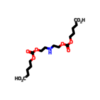 O=C(O)CCCCOC(=O)OCCNCCOC(=O)OCCCCC(=O)O